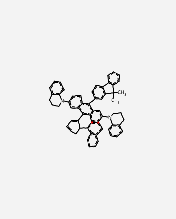 CC1(C)c2ccccc2-c2ccc(-c3c4ccc(N5CCCc6ccccc65)cc4c(C4=CC=CCC4c4cccc5ccccc45)c4ccc(N5CCCc6ccccc65)cc34)cc21